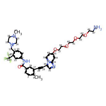 Cc1ccc(C(=O)Nc2ccc(CN3CCN(C)CC3)c(C(F)(F)F)c2)cc1C#Cc1cnc2cc(OCCOCCOCCOCCN)ccn12